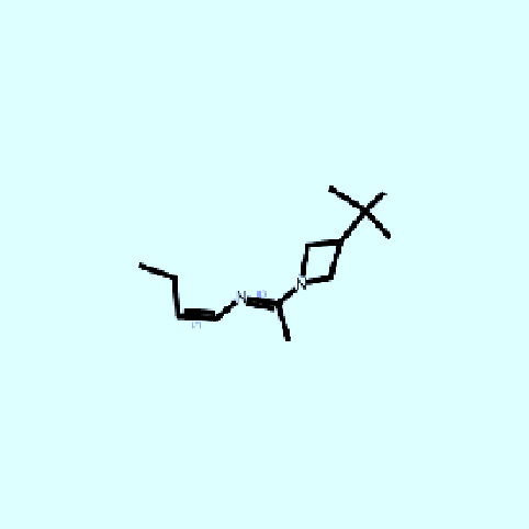 CC/C=C\N=C(/C)N1CC(C(C)(C)C)C1